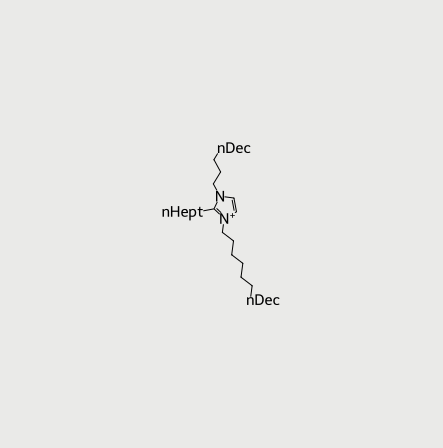 CCCCCCCCCCCCCCCC[n+]1ccn(CCCCCCCCCCCCC)c1CCCCCCC